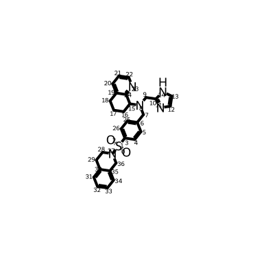 O=S(=O)(c1ccc(CN(Cc2ncc[nH]2)C2CCCc3cccnc32)cc1)N1CCc2ccccc2C1